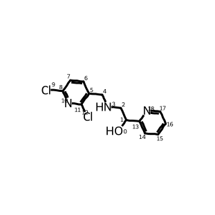 OC(CNCc1ccc(Cl)nc1Cl)c1ccccn1